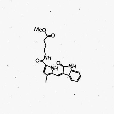 COC(=O)CCCNC(=O)c1cc(C)c(/C=C2\C(=O)Nc3ccccc32)[nH]1